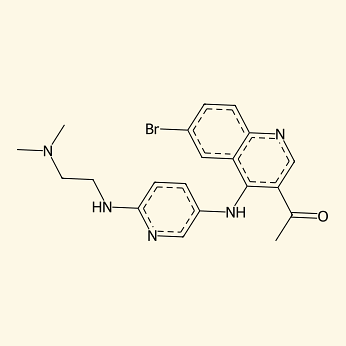 CC(=O)c1cnc2ccc(Br)cc2c1Nc1ccc(NCCN(C)C)nc1